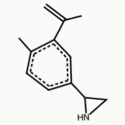 C=C(C)c1cc(C2CN2)ccc1C